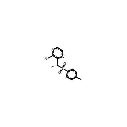 Cc1ccc(S(=O)(=O)[C@H](C)c2nccnc2C(C)C)cc1